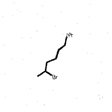 [CH2]CCCCCCC(C)Br